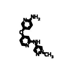 Cn1cc(Nc2cc(Oc3ccc(N)nc3)ccn2)cn1